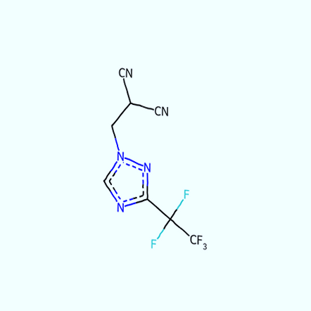 N#CC(C#N)Cn1cnc(C(F)(F)C(F)(F)F)n1